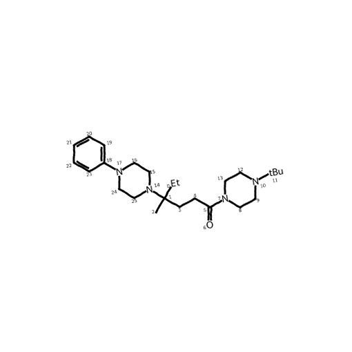 CCC(C)(CCC(=O)N1CCN(C(C)(C)C)CC1)N1CCN(c2ccccc2)CC1